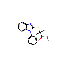 COC(=O)C(C)(C)Sc1nc2ccccc2n1-c1ccccc1